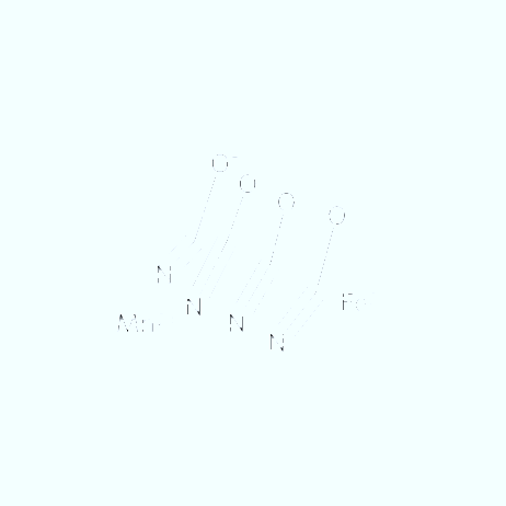 N#C[O-].N#C[O-].N#C[O-].N#C[O-].[Fe+2].[Mn+2]